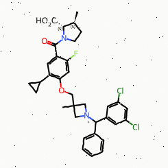 C[C@H]1CCN(C(=O)c2cc(C3CC3)c(OCC3(C)CN(C(c4ccccc4)c4cc(Cl)cc(Cl)c4)C3)cc2F)[C@@H]1C(=O)O